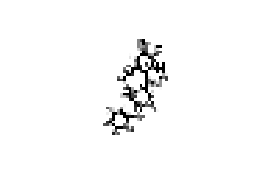 C[C@H]1CN2c3ncnc4c(F)c(Br)cc(c34)OCC[C@@H]2CN1Cc1ccccc1